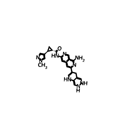 Cn1cc([C@H]2C[C@@H]2C(=O)Nc2cc3cc(C4=CNC5=CNNC=C5C4)nc(N)c3cn2)cn1